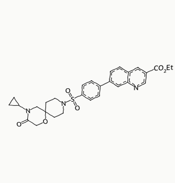 CCOC(=O)c1cnc2cc(-c3ccc(S(=O)(=O)N4CCC5(CC4)CN(C4CC4)C(=O)CO5)cc3)ccc2c1